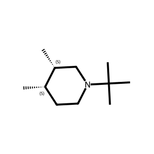 C[C@@H]1CN(C(C)(C)C)CC[C@@H]1C